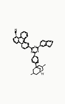 C[C@@H]1C[C@@H]2C[C@H](C)CC(c3ccc(-c4nc(-c5ccc6ccccc6c5)nc(-c5ccc6c(c5)c5ccccc5c5c(C#N)cccc65)n4)cc3)(C1)C2